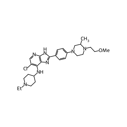 CCN1CCC(Nc2c(Cl)cnc3[nH]c(-c4ccc(N5CCN(CCOC)C(C)C5)cc4)nc23)CC1